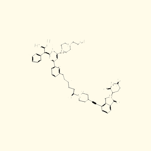 CC(=N)/C(=C1/N=C(c2cccc(CCCCCC(=O)N3CCC(C#Cc4cccc5c4CN(C4CCC(=O)NC4=O)C5=O)CC3)c2)C=C(N2CCN(CCO)CC2)N1)c1ccccc1